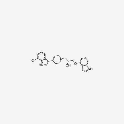 OC(COc1cccc2[nH]ccc12)CN1CC=C(c2c[nH]c3c(Cl)cccc23)CC1